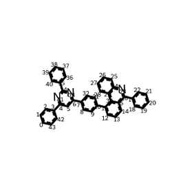 c1ccc(-c2cc(-c3ccc(-c4cccc5c(-c6ccccc6)nc6ccccc6c45)cc3)nc(-c3ccccc3)n2)cc1